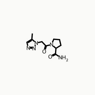 Cc1cnnn1CC(=O)N1CCCC1C(N)=O